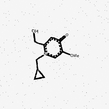 COc1cn(CC2CC2)c(CO)cc1=O